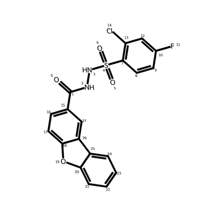 O=C(NNS(=O)(=O)c1ccc(F)cc1Cl)c1ccc2oc3ccccc3c2c1